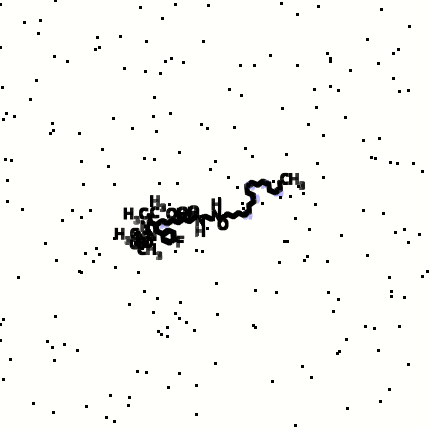 CC/C=C\C/C=C\C/C=C\C/C=C\C/C=C\CCCC(=O)NCCNC(=O)C[C@H](O)C[C@H](O)/C=C/c1c(-c2ccc(F)cc2)nc(N(C)S(C)(=O)=O)nc1C(C)C